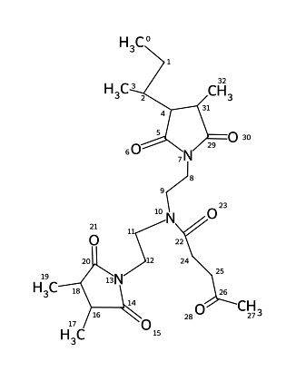 CCC(C)C1C(=O)N(CCN(CCN2C(=O)C(C)C(C)C2=O)C(=O)CCC(C)=O)C(=O)C1C